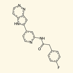 O=C(Cc1ccc(F)cc1)Nc1cc(-c2cc3nnccc3[nH]2)ccn1